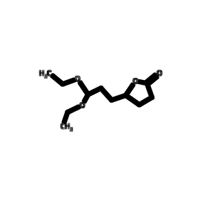 CCOC(CCC1CCC(=O)O1)OCC